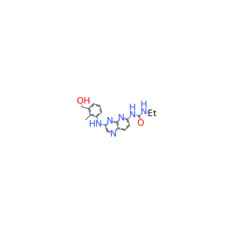 CCNC(=O)Nc1ccc2ncc(Nc3cccc(CO)c3C)nc2n1